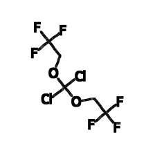 FC(F)(F)COC(Cl)(Cl)OCC(F)(F)F